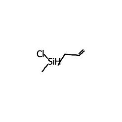 C=CCC[SiH](C)Cl